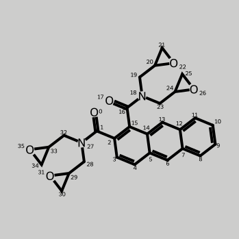 O=C(c1ccc2cc3ccccc3cc2c1C(=O)N(CC1CO1)CC1CO1)N(CC1CO1)CC1CO1